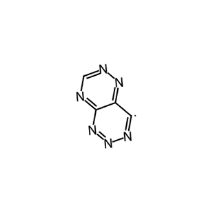 [c]1nnnc2ncnnc12